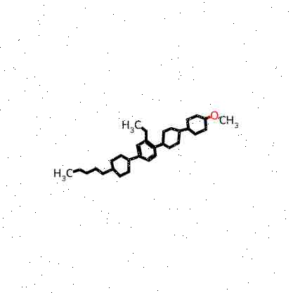 CCCCCC1CCC(c2ccc(C3CCC(C4CCC(OC)CC4)CC3)c(CC)c2)CC1